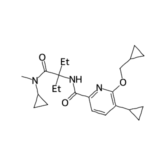 CCC(CC)(NC(=O)c1ccc(C2CC2)c(OCC2CC2)n1)C(=O)N(C)C1CC1